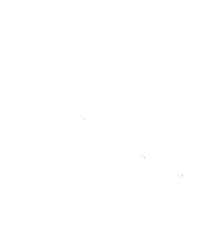 COCc1cccc(Oc2ccc(C(C)C)cc2Cc2cccc(Oc3ccc(C)cc3)n2)n1